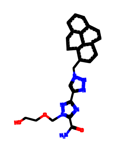 NC(=O)c1nc(-c2cn(Cc3ccc4ccc5cccc6ccc3c4c56)nn2)nn1COCCO